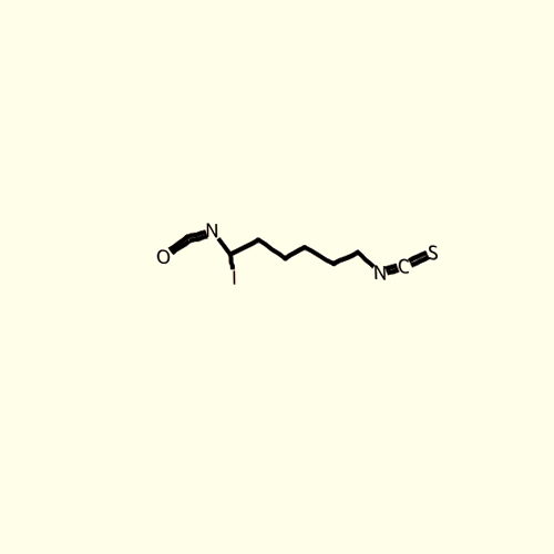 O=C=NC(I)CCCCCN=C=S